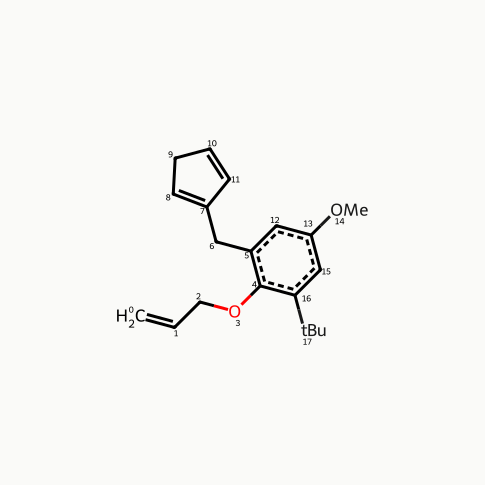 C=CCOc1c(CC2=CCC=C2)cc(OC)cc1C(C)(C)C